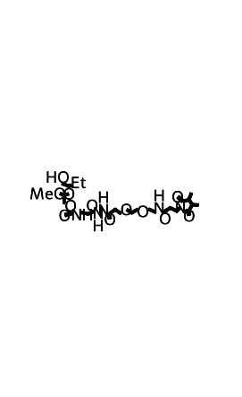 CCC(CO)OC(COC(=O)NCCC(=O)NNC(=O)CCOCCOCCNC(=O)CCN1C(=O)C(C)C(C)C1=O)OC